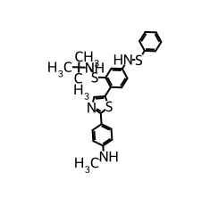 CNc1ccc(-c2ncc(-c3ccc(NSc4ccccc4)cc3SNC(C)(C)C)s2)cc1